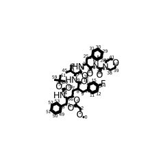 COCC(=O)OC(CC(Cc1ccc(F)cc1)C(=O)NC(C(=O)NC(Cc1ccccc1)C(=O)NC(=O)N1CCOCC1)C(C)C)C(Cc1ccccc1)NC(=O)OC(C)(C)C